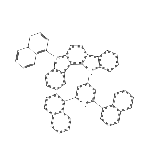 C1=CC2=C(n3c4ccccc4c4c3ccc3c5ccccc5n(-c5cc(-c6cccc7ccccc67)nc(-c6cccc7ccccc67)c5)c34)C=CCC2C=C1